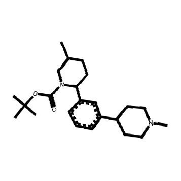 CC1CCC(c2cccc(C3CCN(C)CC3)c2)N(C(=O)OC(C)(C)C)C1